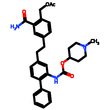 CC(=O)OCc1ccc(CCc2ccc(-c3ccccc3)c(NC(=O)OC3CCN(C)CC3)c2)cc1C(N)=O